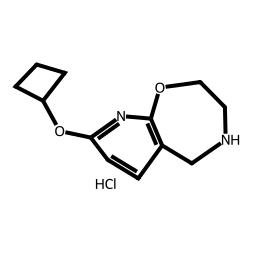 Cl.c1cc2c(nc1OC1CCC1)OCCNC2